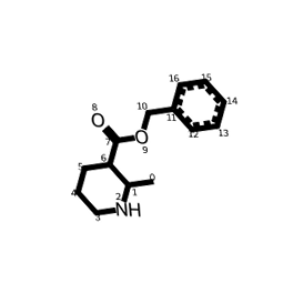 C[C]1NCCCC1C(=O)OCc1ccccc1